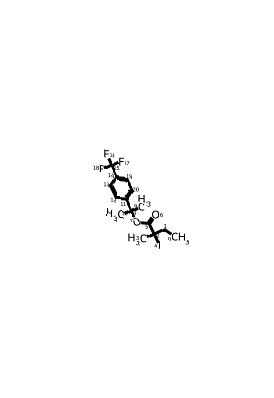 CCC(C)(I)C(=O)OC(C)(C)c1ccc(C(F)(F)F)cc1